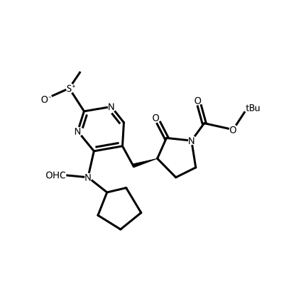 C[S+]([O-])c1ncc(C[C@@H]2CCN(C(=O)OC(C)(C)C)C2=O)c(N(C=O)C2CCCC2)n1